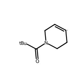 CC(C)(C)C(=O)N1CC=[C]CC1